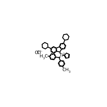 Cc1ccc([C](c2ccc(C)cc2)=[Ti+2]([C]2=CC=CC2)[CH]2c3ccc(C4CCCCC4)cc3-c3cc(C4CCCCC4)ccc32)cc1.[Cl-].[Cl-]